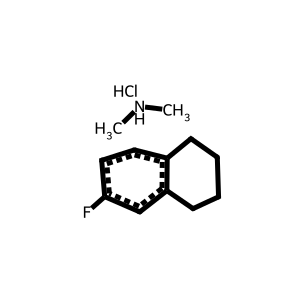 CNC.Cl.Fc1ccc2c(c1)CCCC2